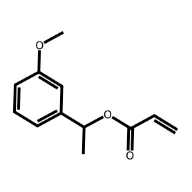 C=CC(=O)OC(C)c1cccc(OC)c1